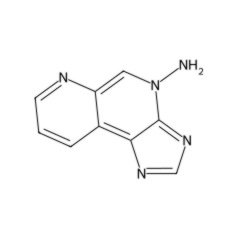 Nn1cc2ncccc2c2ncnc1-2